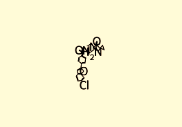 NC1(C(=O)N2CCN(C(=O)c3ccc(-c4cc5ccc(Cl)cc5o4)cc3)CC2)CC1